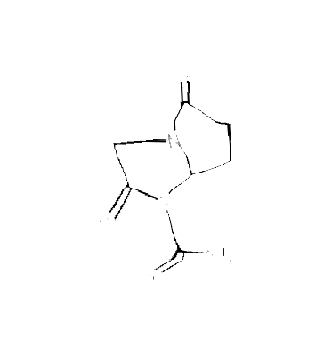 NC(=O)N1C(=O)CN2C(=O)CCC21